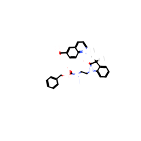 CC1(C)C(=O)N(CCNC(=O)OCc2ccccc2)c2ccccc21.O=C(O)c1ccc2ncccc2c1